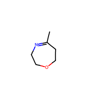 CC1=NCCOCC1